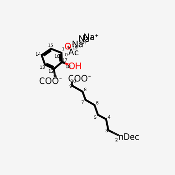 CC(=O)[O-].CCCCCCCCCCCCCCCCCC(=O)[O-].O=C([O-])c1ccccc1O.[Na+].[Na+].[Na+]